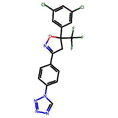 FC(F)(F)C1(c2cc(Cl)cc(Cl)c2)CC(c2ccc(-n3cnnn3)cc2)=NO1